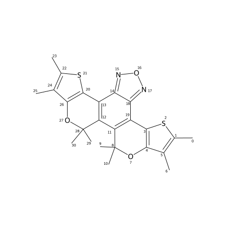 Cc1sc2c(c1C)OC(C)(C)c1c3c(c4nonc4c1-2)-c1sc(C)c(C)c1OC3(C)C